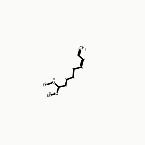 C=C/C=C\CCCCC(OCC)OCC